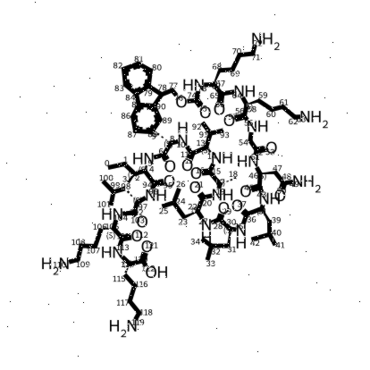 CC[C@H](C)[C@H](NC(=O)[C@H](C)NC(=O)[C@@H](NC(=O)[C@H](C)NC(=O)[C@H](CC(C)C)NC(=O)[C@H](CC(C)C)NC(=O)[C@H](CC(C)C)NC(=O)[C@H](CC(N)=O)NC(=O)CNC(=O)[C@H](CCCCN)NC(=O)[C@H](CCCCN)NC(=O)OCC1c2ccccc2-c2ccccc21)C(C)C)C(=O)N[C@@H](CC(C)C)C(=O)N[C@@H](CCCCN)C(=O)N[C@@H](CCCCN)C(=O)O